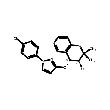 CC1(C)Oc2ccncc2[C@@H](Oc2ccn(-c3ccc(Cl)cc3)n2)[C@@H]1O